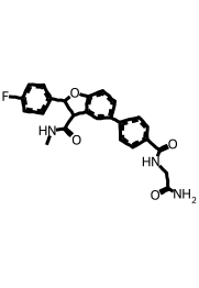 CNC(=O)C1c2cc(-c3ccc(C(=O)NCC(N)=O)cc3)ccc2OC1c1ccc(F)cc1